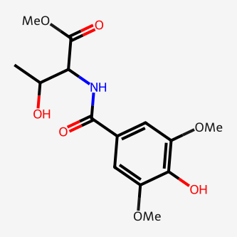 COC(=O)C(NC(=O)c1cc(OC)c(O)c(OC)c1)C(C)O